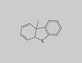 CC12C=CC=CC1Sc1ccccc12